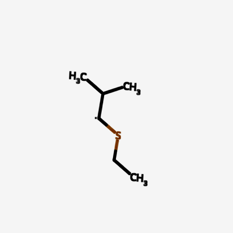 CCS[CH]C(C)C